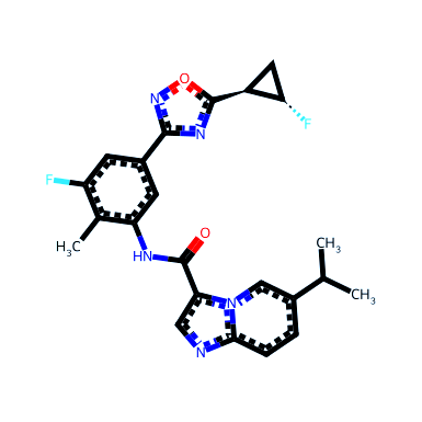 Cc1c(F)cc(-c2noc([C@H]3C[C@@H]3F)n2)cc1NC(=O)c1cnc2ccc(C(C)C)cn12